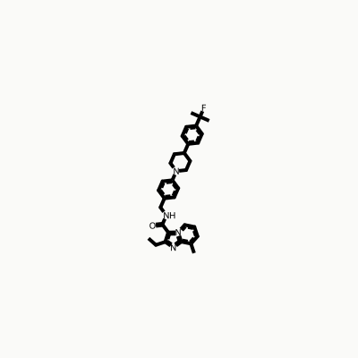 CCc1nc2c(C)cccn2c1C(=O)NCc1ccc(N2CCC(c3ccc(C(C)(C)F)cc3)CC2)cc1